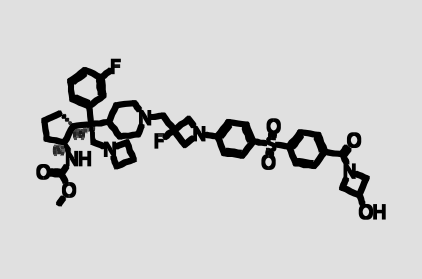 COC(=O)N[C@H]1CCC[C@@H]1[C@](CN1CCC1)(c1cccc(F)c1)C1CCN(CC2(F)CN(c3ccc(S(=O)(=O)c4ccc(C(=O)N5CC(O)C5)cc4)cc3)C2)CC1